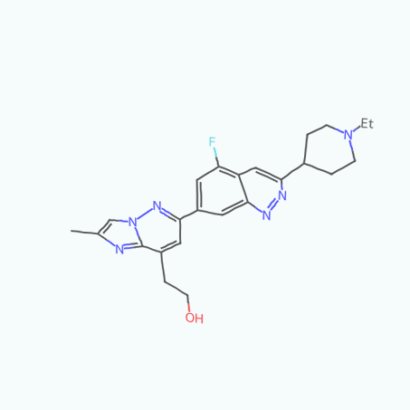 CCN1CCC(c2cc3c(F)cc(-c4cc(CCO)c5nc(C)cn5n4)cc3nn2)CC1